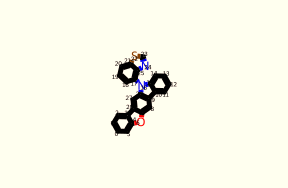 c1ccc2c(c1)oc1cc3c4ccccc4n(-c4cccc5scnc45)c3cc12